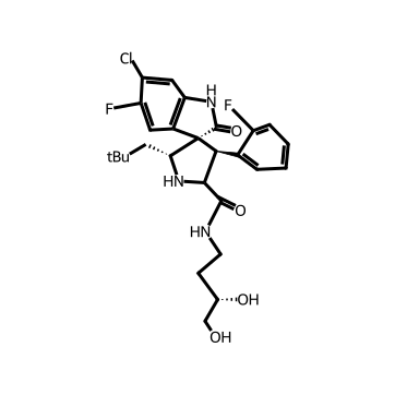 CC(C)(C)C[C@H]1NC(C(=O)NCC[C@H](O)CO)[C@H](c2ccccc2F)[C@@]12C(=O)Nc1cc(Cl)c(F)cc12